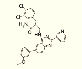 COc1cccc(-c2ccc3nc(-c4cccnc4)nc(NCC(Cc4ccc(Cl)c(Cl)c4)C(N)=O)c3c2)c1